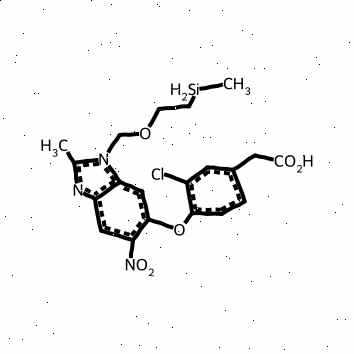 C[SiH2]CCOCn1c(C)nc2cc([N+](=O)[O-])c(Oc3ccc(CC(=O)O)cc3Cl)cc21